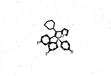 Fc1ccc(C2=C(C3CCCCC3)c3ccc[o+]3[B-]2(c2ccc(F)cc2)c2ccc(F)cc2)cc1